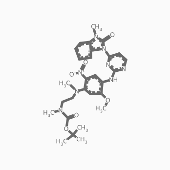 COc1cc(N(C)CCN(C)C(=O)OC(C)(C)C)c([N+](=O)[O-])cc1Nc1nccc(-n2c(=O)n(C)c3ccccc32)n1